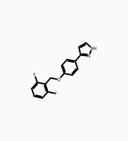 Fc1cccc(F)c1COc1ccc(-c2cc[nH]n2)cc1